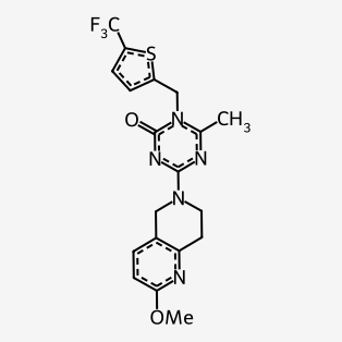 COc1ccc2c(n1)CCN(c1nc(C)n(Cc3ccc(C(F)(F)F)s3)c(=O)n1)C2